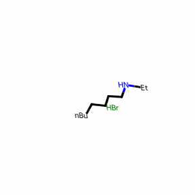 Br.CCCCCCCCNCC